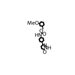 COc1cccc(COC(=O)Nc2ccc(-c3ccc(=O)[nH]n3)cc2)c1